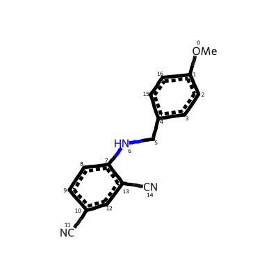 COc1ccc(CNc2ccc(C#N)cc2C#N)cc1